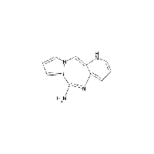 NC1=NC2=CC=CNC2=Cn2cccc21